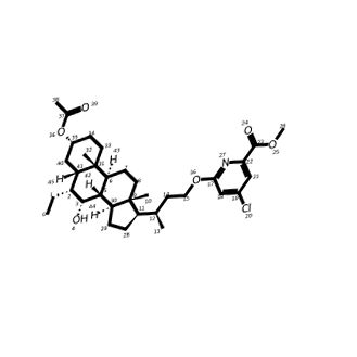 CC[C@H]1[C@@H](O)[C@@H]2[C@H](CC[C@]3(C)[C@@H]([C@H](C)CCOc4cc(Cl)cc(C(=O)OC)n4)CC[C@@H]23)[C@@]2(C)CC[C@@H](OC(C)=O)C[C@@H]12